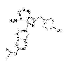 Nc1ncnc2c1c(-c1ccc3cc(OC(F)F)ccc3c1)nn2CN1CCC(O)CC1